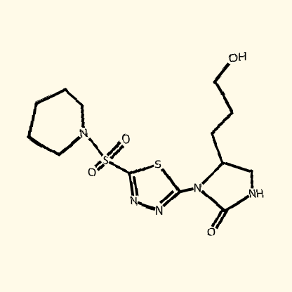 O=C1NCC(CCCO)N1c1nnc(S(=O)(=O)N2CCCCC2)s1